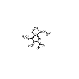 CCc1c(C=O)cc(C(=O)[O-])c(O)c1OC.[Na+]